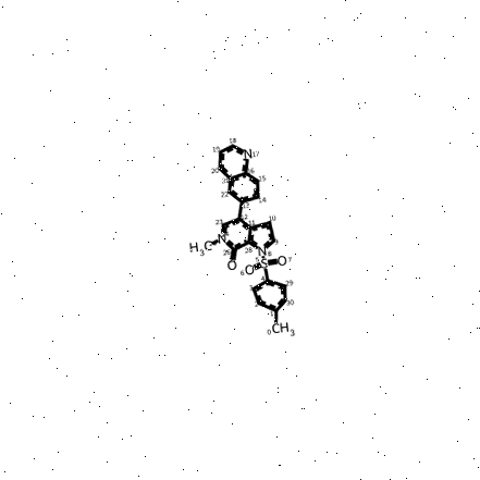 Cc1ccc(S(=O)(=O)n2ccc3c(-c4ccc5ncccc5c4)cn(C)c(=O)c32)cc1